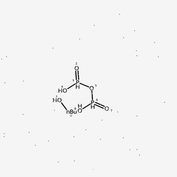 CCCCO.O=[PH](O)O[PH](=O)O